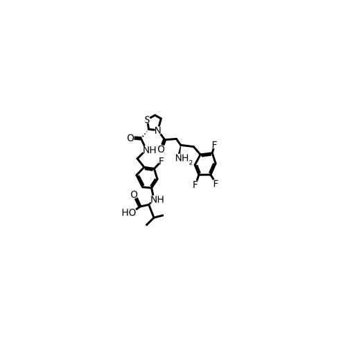 CC(C)[C@H](Nc1ccc(CNC(=O)[C@@H]2SCCN2C(=O)C[C@H](N)Cc2cc(F)c(F)cc2F)c(F)c1)C(=O)O